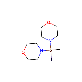 CS(I)(N1CCOCC1)N1CCOCC1